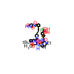 CCN1CC[C@H]2CC[C@@H](C(=O)NC(CCS(C)(=O)=O)C(=O)NC(Cc3ccc(C(C)(C)C)cc3)C(=O)N3CCC(CCC#Cc4cccc5c4CN(C4CCC(=O)NC4=O)C5=O)CC3)N2C(=O)[C@@H](NC(=O)c2cc3cc(C(F)(F)P(=O)(O)O)ccc3s2)C1